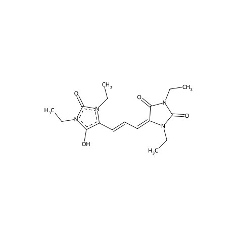 CCN1C(=O)/C(=C\C=Cc2c(O)n(CC)c(=O)n2CC)N(CC)C1=O